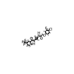 O=C(COc1ccc(Cl)c(F)c1)NC12CC(NC(=O)c3cc(C(F)(F)F)ccn3)(C1)C2